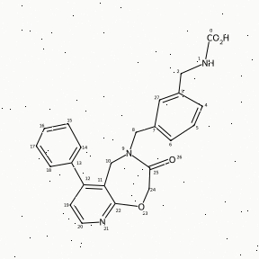 O=C(O)NCc1cccc(CN2Cc3c(-c4ccccc4)ccnc3OCC2=O)c1